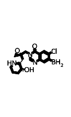 Bc1cc2ncn(CC3(C[C@H]4NCCC[C@@H]4O)CO3)c(=O)c2cc1Cl